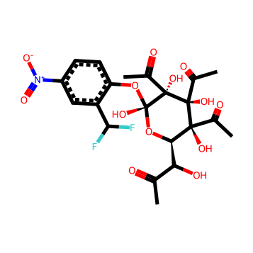 CC(=O)C(O)[C@H]1O[C@](O)(Oc2ccc([N+](=O)[O-])cc2C(F)F)[C@@](O)(C(C)=O)[C@](O)(C(C)=O)[C@]1(O)C(C)=O